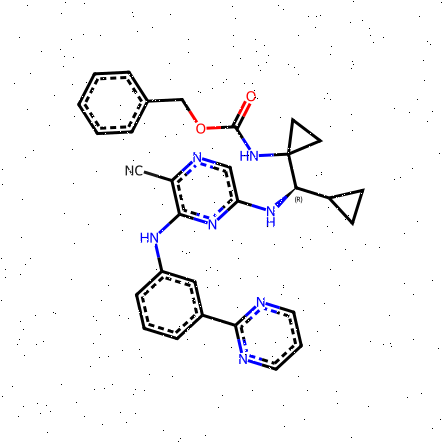 N#Cc1ncc(N[C@H](C2CC2)C2(NC(=O)OCc3ccccc3)CC2)nc1Nc1cccc(-c2ncccn2)c1